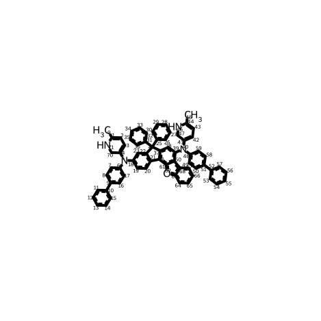 CC1=CC=C(N(c2ccc(-c3ccccc3)cc2)c2ccc3c(c2)C(c2ccccc2)(c2ccccc2)c2cc(N(C4=CC=C(C)NC4)c4ccc(-c5ccccc5)cc4)c4c(oc5ccccc54)c2-3)CN1